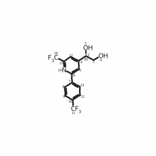 OC[C@H](O)c1cc(-c2ccc(C(F)(F)F)cc2)nc(C(F)(F)F)c1